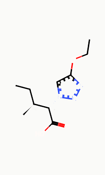 CCOc1cn([C@H](C(=O)O)[C@@H](C)CC)nn1